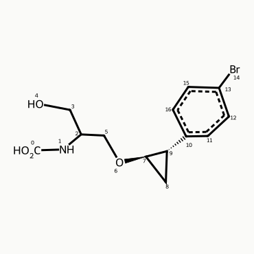 O=C(O)NC(CO)CO[C@@H]1C[C@H]1c1ccc(Br)cc1